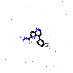 NC(=O)c1ccc2nccc(-c3cccc(C(F)(F)F)c3)c2n1